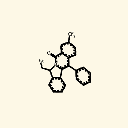 CC(=O)CC1c2ccccc2-c2c(-c3ccccc3)c3ccc(C(F)(F)F)cc3c(=O)n21